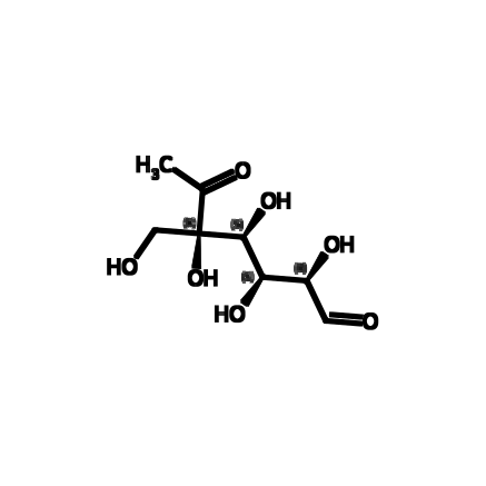 CC(=O)[C@@](O)(CO)[C@@H](O)[C@H](O)[C@@H](O)C=O